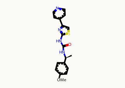 COc1ccc([C@H](C)NC(=O)Nc2nc(-c3ccncc3)cs2)cc1